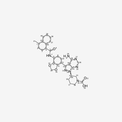 Cc1ccc(C(=O)Nc2ccc(-c3nn([C@@H]4CCCN(C(=O)O)C4)c4ncnc(N)c34)c3c2OCO3)c2ccccc12